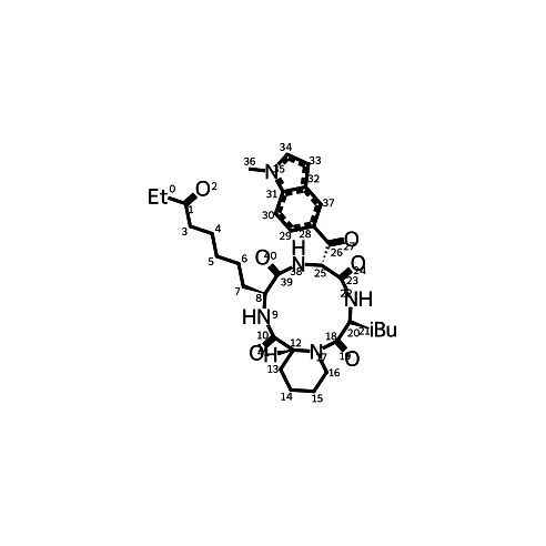 CCC(=O)CCCCC[C@@H]1NC(=O)[C@H]2CCCCN2C(=O)C([C@H](C)CC)NC(=O)[C@@H](C(=O)c2ccc3c(ccn3C)c2)NC1=O